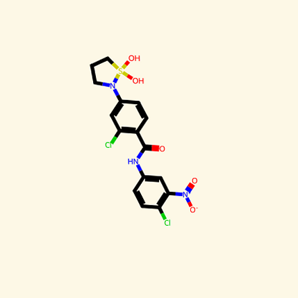 O=C(Nc1ccc(Cl)c([N+](=O)[O-])c1)c1ccc(N2CCCS2(O)O)cc1Cl